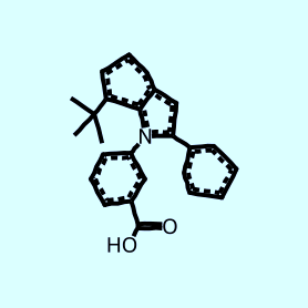 CC(C)(C)c1cccc2cc(-c3ccccc3)n(-c3cccc(C(=O)O)c3)c12